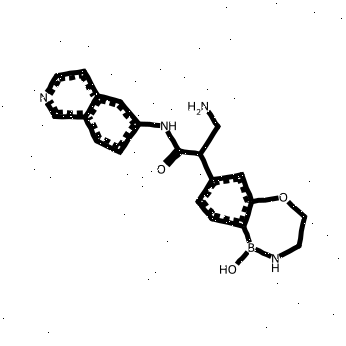 NCC(C(=O)Nc1ccc2cnccc2c1)c1ccc2c(c1)OCCNB2O